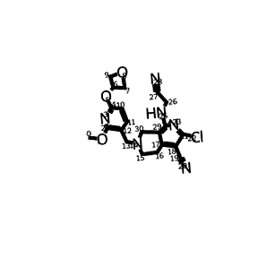 COc1nc(OC2COC2)ccc1CN1CCc2c(C#N)c(Cl)nc(NCC#N)c2C1